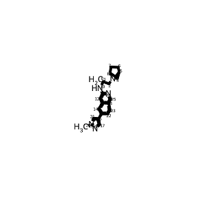 C=C(CN1CC2CCC1C2)Nc1cc2cc(-c3cnn(C)c3)ccc2cn1